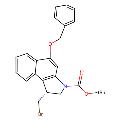 CC(C)(C)OC(=O)N1C[C@H](CBr)c2c1cc(OCc1ccccc1)c1ccccc21